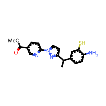 COC(=O)c1ccc(-n2ccc(C(C)c3ccc(N)c(S)c3)n2)nc1